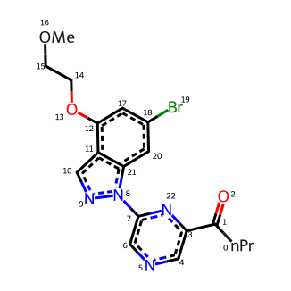 CCCC(=O)c1cncc(-n2ncc3c(OCCOC)cc(Br)cc32)n1